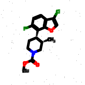 C[C@@H]1CN(C(=O)OC(C)(C)C)CC[C@@H]1c1c(F)ccc2c(Cl)coc12